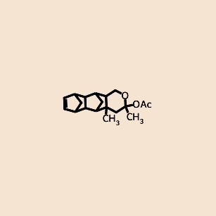 CC(=O)OC1(C)CC2(C)C(CO1)C1CC2C2C3C=CC(C3)C12